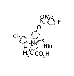 CON=C(COc1ccc2c(c1)c(SC(C)(C)C)c(CC(C)(C)C(=O)O)n2Cc1ccc(Cl)cc1)c1ccc(F)cc1